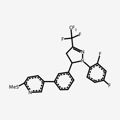 CSc1ccc(-c2cccc(C3CC(C(F)(F)C(F)(F)F)=NN3c3ccc(F)cc3F)c2)cn1